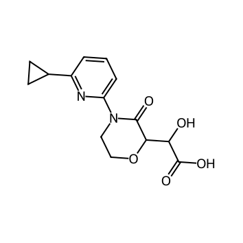 O=C(O)C(O)C1OCCN(c2cccc(C3CC3)n2)C1=O